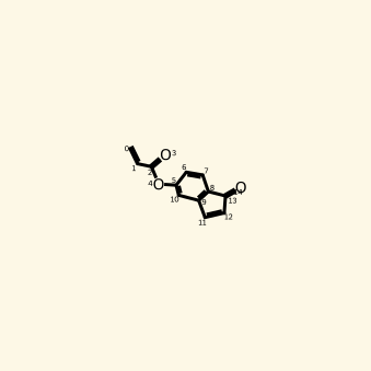 C=CC(=O)Oc1ccc2c(c1)C=CC2=O